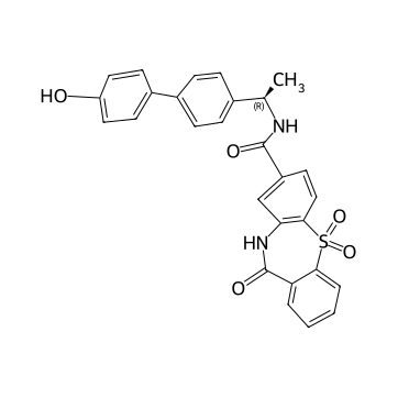 C[C@@H](NC(=O)c1ccc2c(c1)NC(=O)c1ccccc1S2(=O)=O)c1ccc(-c2ccc(O)cc2)cc1